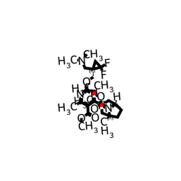 COC(=O)c1c(C)nc(OC[C@]2(CN(C)C)CC2(F)F)nc1N1C[C@H]2CC[C@](C)(C1)N2C(=O)OC(C)(C)C